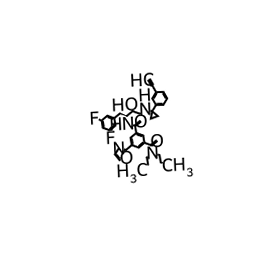 C#Cc1cccc(C2(NC[C@@H](O)[C@H](Cc3cc(F)cc(F)c3)NC(=O)c3cc(C(=O)N(CCC)CCC)cc(-c4ncco4)c3)CC2)c1